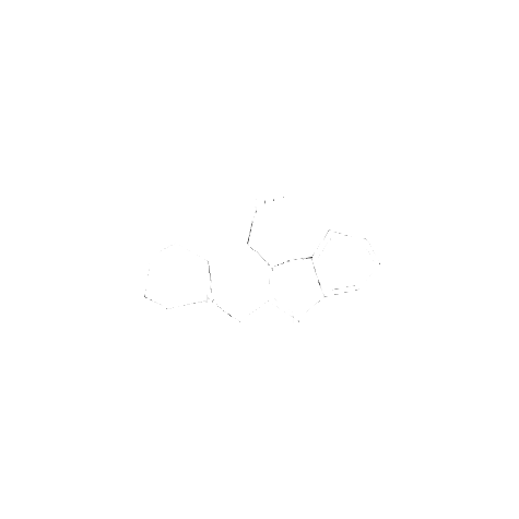 O=C(O)Cn1c(CN2CCOCC2)nc2ccccc21